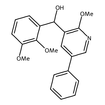 COc1cccc(C(O)c2cc(-c3ccccc3)cnc2OC)c1OC